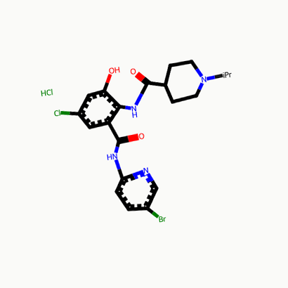 CC(C)N1CCC(C(=O)Nc2c(O)cc(Cl)cc2C(=O)Nc2ccc(Br)cn2)CC1.Cl